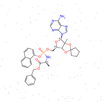 C[C@H](NP(=O)(OC[C@H]1O[C@@H](n2cnc3c(N)ncnc32)C2(C)OC3(CCCC3)OC12)Oc1cccc2ccccc12)C(=O)OCc1ccccc1